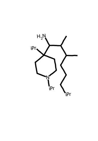 CC(C)CCCC(C)C(C)C(N)C1(C(C)C)CCN(C(C)C)CC1